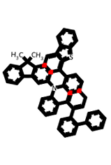 CC1(C)c2ccccc2-c2cc(N(c3ccccc3C3=CCCC=C3c3ccccc3-c3ccccc3)c3ccccc3C3=c4sc5ccccc5c4=CCC3)ccc21